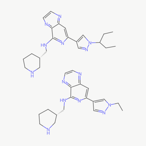 CCC(CC)n1cc(-c2cc3nccnc3c(NC[C@H]3CCCNC3)n2)cn1.CCn1cc(-c2cc3nccnc3c(NC[C@H]3CCCNC3)n2)cn1